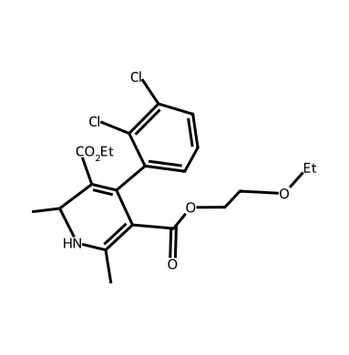 CCOCCOC(=O)C1=C(C)NC(C)C(C(=O)OCC)=C1c1cccc(Cl)c1Cl